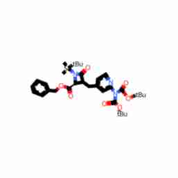 CC(C)(C)OC(=O)N(C(=O)OC(C)(C)C)c1cc(CC2C(=O)N([Si](C)(C)C(C)(C)C)[C@@H]2C(=O)OCc2ccccc2)ccn1